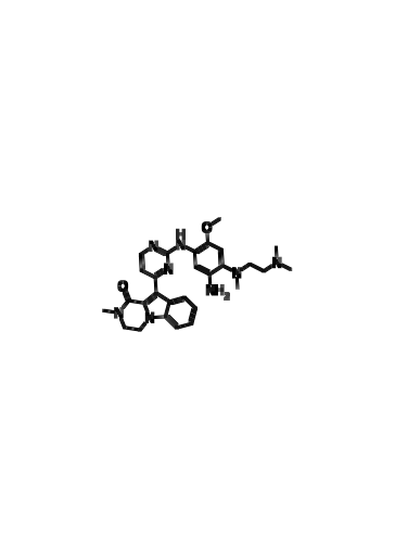 COc1cc(N(C)CCN(C)C)c(N)cc1Nc1nccc(-c2c3n(c4ccccc24)CCN(C)C3=O)n1